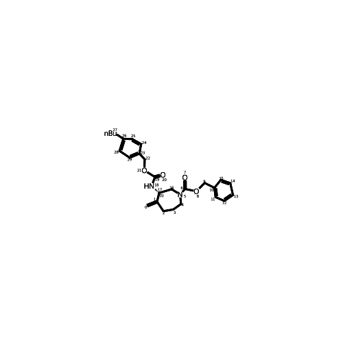 C=C1CCCN(C(=O)OCc2ccccc2)C[C@H]1NC(=O)OCc1ccc(CCCC)cc1